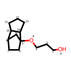 OCCCOC12CCC(C1)C1CCCC12